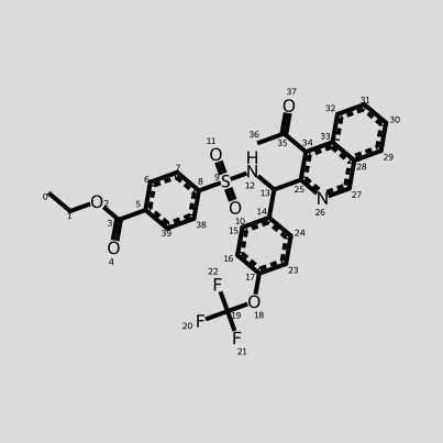 CCOC(=O)c1ccc(S(=O)(=O)NC(c2ccc(OC(F)(F)F)cc2)c2ncc3ccccc3c2C(C)=O)cc1